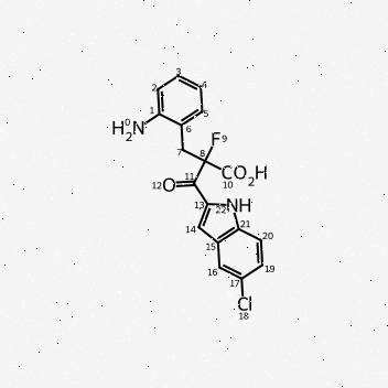 Nc1ccccc1CC(F)(C(=O)O)C(=O)c1cc2cc(Cl)ccc2[nH]1